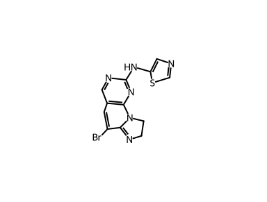 BrC1=Cc2cnc(Nc3cncs3)nc2N2CCN=C12